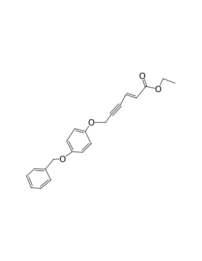 CCOC(=O)/C=C/C#CCOc1ccc(OCc2ccccc2)cc1